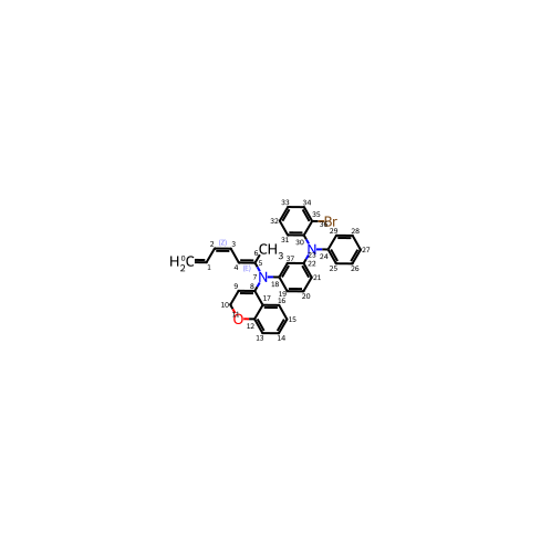 C=C/C=C\C=C(/C)N(C1=CCOc2ccccc21)c1cccc(N(c2ccccc2)c2ccccc2Br)c1